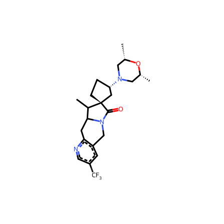 CC1C2Cc3ncc(C(F)(F)F)cc3CN2C(=O)[C@]12CC[C@H](N1C[C@@H](C)O[C@@H](C)C1)C2